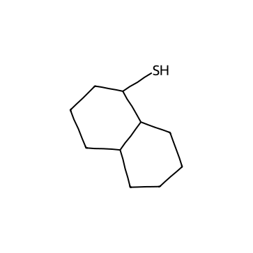 SC1CCCC2CCCCC12